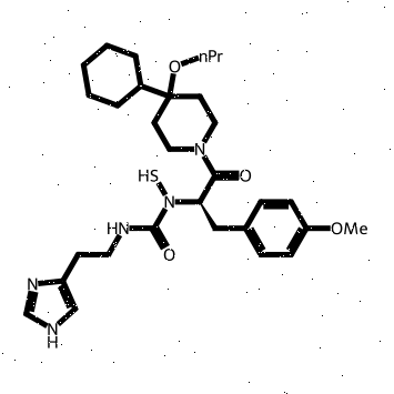 CCCOC1(C2CCCCC2)CCN(C(=O)[C@@H](Cc2ccc(OC)cc2)N(S)C(=O)NCCc2c[nH]cn2)CC1